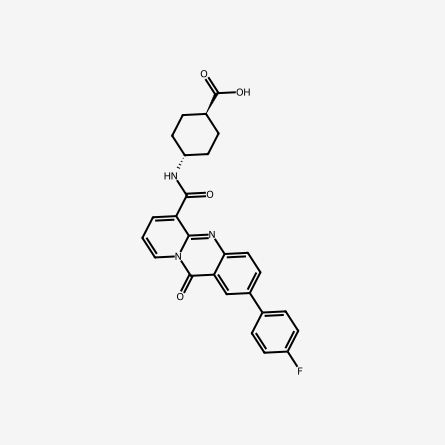 O=C(N[C@H]1CC[C@H](C(=O)O)CC1)c1cccn2c(=O)c3cc(-c4ccc(F)cc4)ccc3nc12